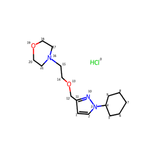 Cl.c1cn(C2CCCCC2)nc1COCCN1CCOCC1